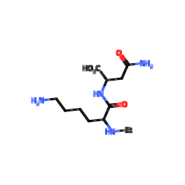 CCNC(CCCCN)C(=O)NC(CC(N)=O)C(=O)O